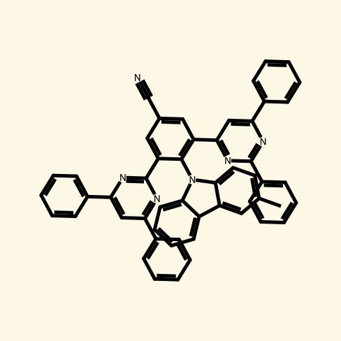 Cc1ccc2c(c1)c1ccccc1n2-c1c(-c2cc(-c3ccccc3)nc(-c3ccccc3)n2)cc(C#N)cc1-c1nc(-c2ccccc2)cc(-c2ccccc2)n1